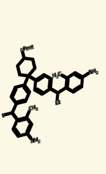 CCCCCC1CCC(c2ccc(C(CC)c3ccc(N)cc3C)cc2)(c2ccc(C(CC)c3ccc(N)cc3C)cc2)CC1